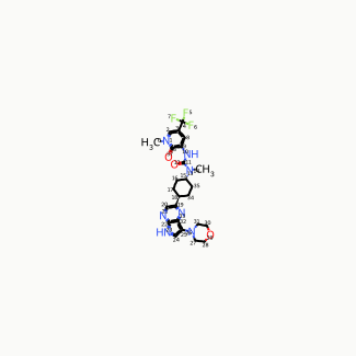 Cn1cc(C(F)(F)F)cc(NC(=O)N(C)[C@H]2CC[C@H](c3cnc4[nH]cc(N5CCOCC5)c4n3)CC2)c1=O